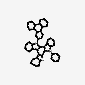 c1ccc(-n2c3ccccc3c3c2c2oc4ccccc4c2c2c4ccccc4n(-c4ccc5c6ccccc6c6ccccc6c5c4)c23)cc1